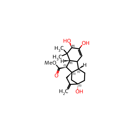 C=C1C[C@]23C[C@@]1(O)CC[C@H]2C1C=C(O)[C@H](O)C(C)(C)[C@H]1[C@@H]3C(=O)OC